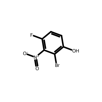 O=[N+]([O-])c1c(F)ccc(O)c1Br